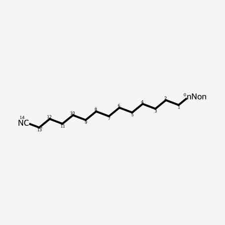 CCCCCCCCCCCCCCCCCCCCC[CH]C#N